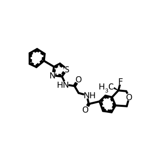 C[C@@]1(F)COCc2ccc(C(=O)NCC(=O)Nc3nc(-c4ccccc4)cs3)cc21